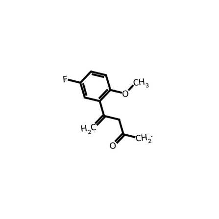 [CH2]C(=O)CC(=C)c1cc(F)ccc1OC